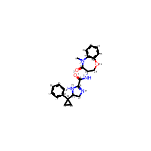 CN1C(=O)[C@@H](NC(=O)C2=NCC(C3(c4ccccc4)CC3)N2)COc2ccccc21